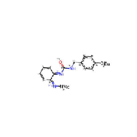 CN/N=C1/C=CC=C/C1=N\C(=O)NCc1ccc(OCC(C)C)cc1